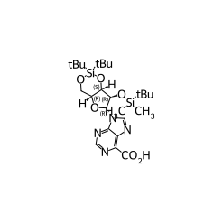 CC(C)(C)[Si](C)(C)O[C@@H]1[C@H]2O[Si](C(C)(C)C)(C(C)(C)C)OC[C@H]2O[C@H]1n1cnc2c(C(=O)O)ncnc21